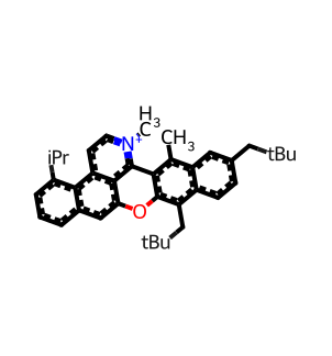 Cc1c2c(c(CC(C)(C)C)c3ccc(CC(C)(C)C)cc13)Oc1cc3cccc(C(C)C)c3c3cc[n+](C)c-2c13